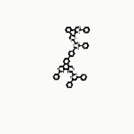 c1ccc(-c2cc(-c3ccccc3)nc(-c3ncc4c5cc(-c6ccc(-c7nc(-c8ccccc8)nc(-c8ncc9c%10ccccc%10c%10cnc(-c%11ccccc%11)nc%10c9n8)n7)cc6)ccc5c5cnc(-c6ccccc6)nc5c4n3)n2)cc1